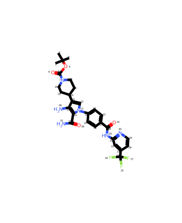 CC(C)(C)OC(=O)N1CCC(c2cn(-c3ccc(C(=O)Nc4cc(C(F)(F)F)ccn4)cc3)c(C(N)=O)c2N)CC1